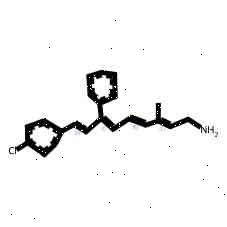 CC(/C=C/C=C(/C=C/c1ccc(Cl)cc1)c1ccccc1)=C\CN